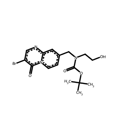 CC(C)(C)OC(=O)N(CCO)Cc1ccn2c(=O)c(Br)cnc2c1